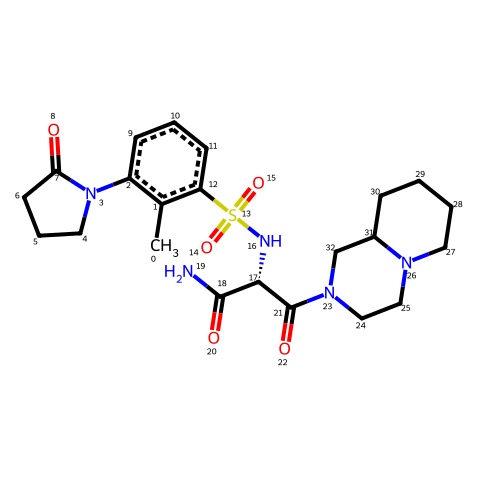 Cc1c(N2CCCC2=O)cccc1S(=O)(=O)N[C@@H](C(N)=O)C(=O)N1CCN2CCCCC2C1